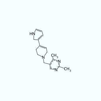 Cc1ncc(CN2CC=C(C3=CC=CNC3)CC2)c(C)n1